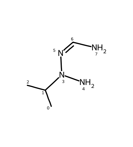 CC(C)N(N)/N=C\N